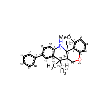 COc1cccc2c1[C@H]1Nc3ccc(-c4ccccc4)cc3C(C)(C)[C@@H]1CO2